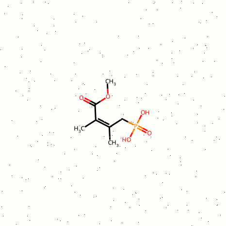 COC(=O)C(C)=C(C)CP(=O)(O)O